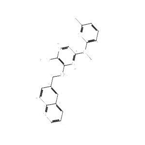 Cc1cccc(N(C)c2cnc(N)c(NCc3ccc4ncccc4c3)n2)n1